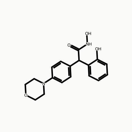 O=C(NO)C(c1ccc(N2CCOCC2)cc1)c1ccccc1O